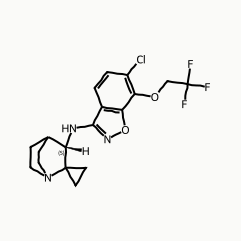 FC(F)(F)COc1c(Cl)ccc2c(N[C@H]3C4CCN(CC4)C34CC4)noc12